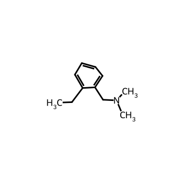 CCc1ccccc1CN(C)C